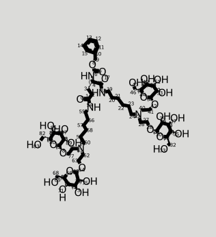 O=C(CC[C@H](NC(=O)OCc1ccccc1)C(=O)NCCCCCCN(CCO[C@H]1O[C@H](CO)[C@@H](O)[C@H](O)[C@@H]1O)CCO[C@H]1O[C@H](CO)[C@@H](O)[C@H](O)[C@@H]1O)NCCCCCCN(CCO[C@H]1O[C@H](CO)[C@@H](O)[C@H](O)[C@@H]1O)CCO[C@H]1O[C@H](CO)[C@@H](O)[C@H](O)[C@@H]1O